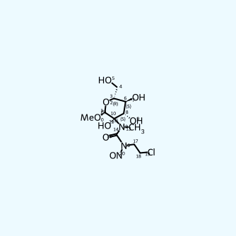 CO[C@H]1O[C@H](CO)[C@@H](O)[C@H](O)[C@@]1(O)N(C)C(=O)N(CCCl)N=O